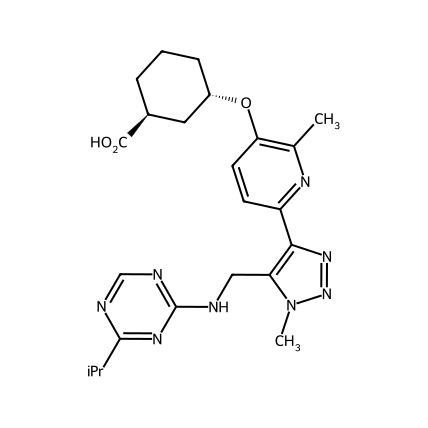 Cc1nc(-c2nnn(C)c2CNc2ncnc(C(C)C)n2)ccc1O[C@H]1CCC[C@H](C(=O)O)C1